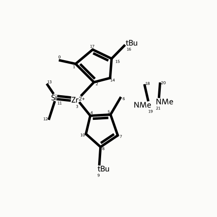 CC1=[C]([Zr+2]([C]2=C(C)C=C(C(C)(C)C)C2)=[Si](C)C)CC(C(C)(C)C)=C1.C[N-]C.C[N-]C